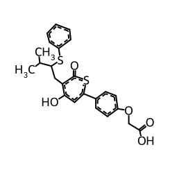 CC(C)C(Cc1c(O)cc(-c2ccc(OCC(=O)O)cc2)sc1=O)Sc1ccccc1